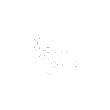 C1=C(c2ccccc2)SC2=C(c3ccccc3)N=C(n3c4ccc(-c5cccc6c5c5c7ccccc7ccc5n6-c5ccc6oc7ccccc7c6c5)cc4c4c5ccccc5ccc43)NC12